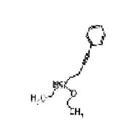 CCO[SiH](CCC#Cc1ccccc1)OCC